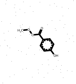 COOC(=O)c1ccc(O)cc1